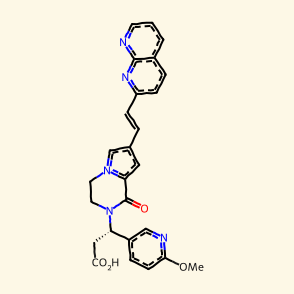 COc1ccc([C@H](CC(=O)O)N2CCn3cc(/C=C/c4ccc5cccnc5n4)cc3C2=O)cn1